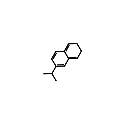 CC(C)c1ccc2c(c1)=CCCC=2